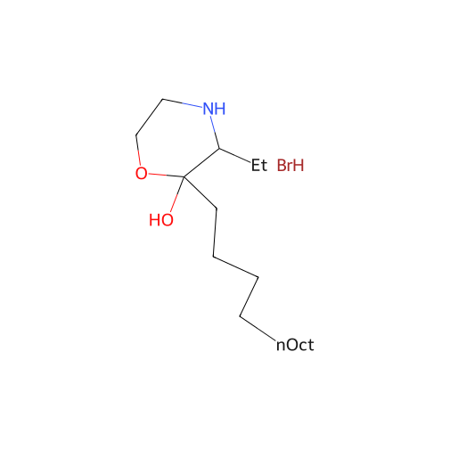 Br.CCCCCCCCCCCCC1(O)OCCNC1CC